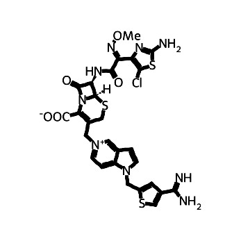 CON=C(C(=O)N[C@@H]1C(=O)N2C(C(=O)[O-])=C(C[n+]3ccc4c(ccn4Cc4cc(C(=N)N)cs4)c3)CS[C@H]12)c1nc(N)sc1Cl